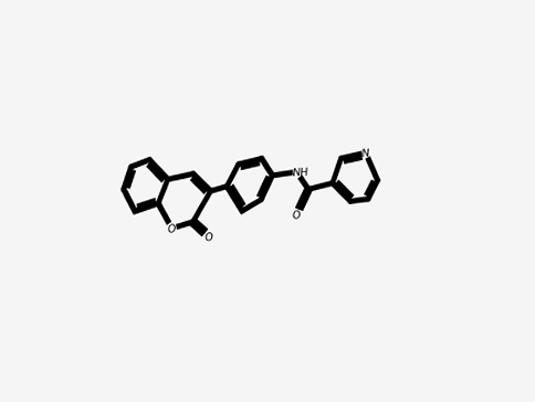 O=C(Nc1ccc(-c2cc3ccccc3oc2=O)cc1)c1cccnc1